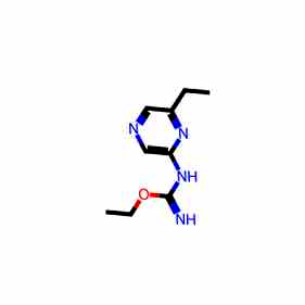 CCOC(=N)Nc1cncc(CC)n1